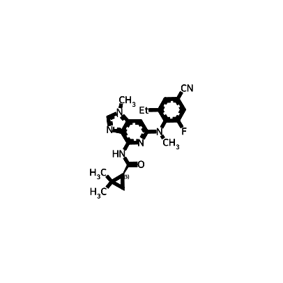 CCc1cc(C#N)cc(F)c1N(C)c1cc2c(ncn2C)c(NC(=O)[C@H]2CC2(C)C)n1